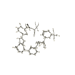 CC(C)(C)C(=O)Nc1cc(-c2cc3nccc(-c4cccc(NC(=O)c5cccc(C(F)(F)F)c5)c4)n3n2)ccn1